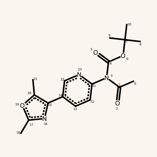 CC(=O)N(C(=O)OC(C)(C)C)c1ccc(-c2nc(C)oc2C)cn1